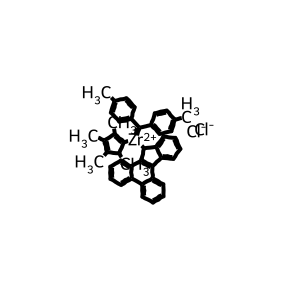 CC1=C(C)C(C)[C]([Zr+2](=[C](c2ccc(C)cc2)c2ccc(C)cc2)[CH]2c3ccccc3-c3c2c2ccccc2c2ccccc32)=C1C.[Cl-].[Cl-]